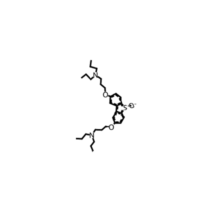 CCCN(CCC)CCCOc1ccc2c(c1)c1cc(OCCCN(CCC)CCC)ccc1[s+]2[O-]